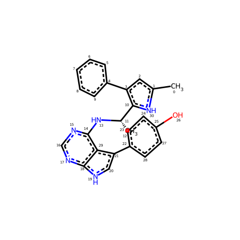 Cc1cc(-c2ccccc2)c([C@H](C)Nc2ncnc3[nH]cc(-c4ccc(O)cc4)c23)[nH]1